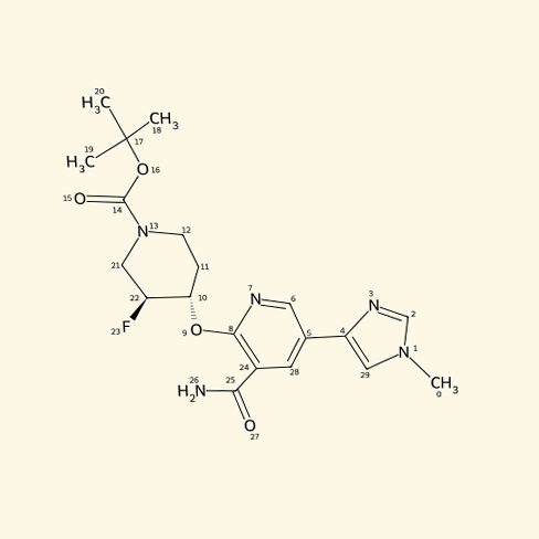 Cn1cnc(-c2cnc(O[C@H]3CCN(C(=O)OC(C)(C)C)C[C@@H]3F)c(C(N)=O)c2)c1